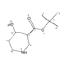 CC(C)(C)OC(=O)C1CNCCC1O